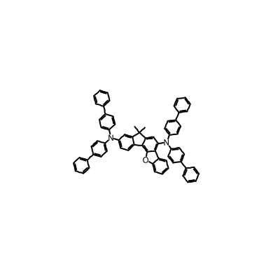 CC1(C)c2cc(N(c3ccc(-c4ccccc4)cc3)c3ccc(-c4ccccc4)cc3)ccc2-c2c1cc(N(c1ccc(-c3ccccc3)cc1)c1ccc(-c3ccccc3)cc1)c1c2oc2ccccc21